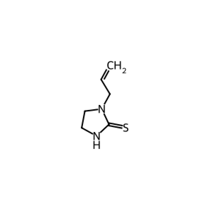 C=CCN1CCNC1=S